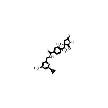 Cc1cc(CNC(=O)c2ccc([C@@H](C)[C@]3(C)CC(=O)NC3=O)cc2)nc(C2CC2)c1